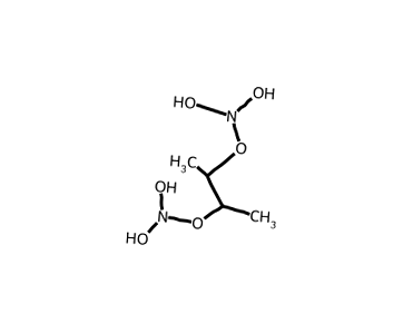 CC(ON(O)O)C(C)ON(O)O